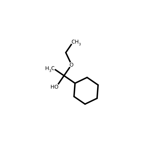 CCOC(C)(O)C1CCCCC1